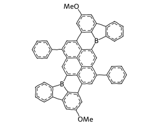 COc1cc2c3c(c1)-c1cc(-c4ccccc4)c4cc5c6c(cc(-c7ccccc7)c7cc(c1c4c76)B3c1ccccc1-2)-c1cc(OC)cc2c1B5c1ccccc1-2